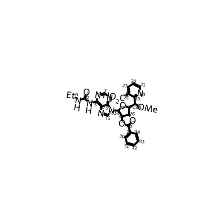 CCNC(=O)Nc1ncnc2c1ncn2C1OC(C(OC)c2ncccc2C(=O)O)C2OC(c3ccccc3)OC21